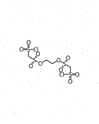 O=S(=O)(Cl)CS(=O)(=O)OCCOS(=O)(=O)CS(=O)(=O)Cl